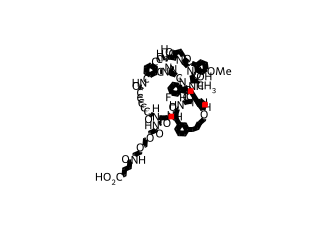 COc1ccc(C[C@@H]2NC(=O)[C@H]([C@@H](C)O)NC(=O)[C@@H]3[C@@H]4CCN3C(=O)[C@@H]3Cc5cn(c6ccc(F)cc56)Cc5cn(nn5)Cc5cc(ccc5CNC(=O)CCCCCC(=O)N[C@H](CNC(=O)COCCOCCNC(=O)CCCC(=O)O)C(=O)N[C@@H](Cc5cccc(c5)C/C=C/CO4)C(=O)N3)CCNC(=O)[C@]3(C)CCCN3C2=O)cc1